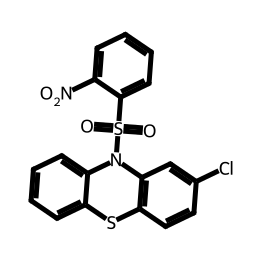 O=[N+]([O-])c1ccccc1S(=O)(=O)N1c2ccccc2Sc2ccc(Cl)cc21